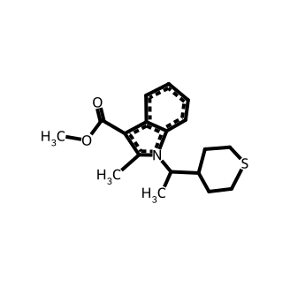 COC(=O)c1c(C)n(C(C)C2CCSCC2)c2ccccc12